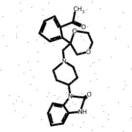 CC(=O)c1ccccc1C1(CN2CCC(n3c(=O)[nH]c4ccccc43)CC2)COCCO1